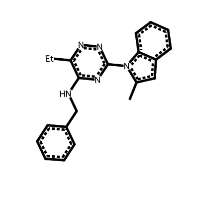 CCc1nnc(-n2c(C)cc3ccccc32)nc1NCc1ccccc1